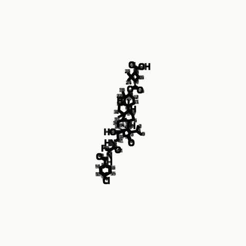 CC(C)C1=C2[C@H]3CC[C@@H]4[C@@]5(C)CC[C@H](OC(=O)[C@H]6C[C@@H](C(=O)O)C6(C)C)C(C)(C)[C@@H]5CC[C@@]4(C)[C@]3(C)CC[C@@]2([C@@H](O)CNC(=O)C(F)NC(=O)c2ccc(Cl)cc2)CC1=O